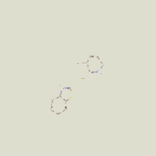 COc1c(C)cnc(CSc2nc3ccccc3s2)c1C